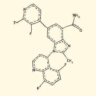 Cc1nc2c(C(N)=O)cc(-c3ccnc(F)c3F)cc2n1-c1ccnc2c(F)ccc(F)c12